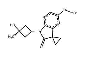 CCCOc1cnc2c(c1)C1(CC1)C(=O)N2[C@H]1C[C@@](C)(O)C1